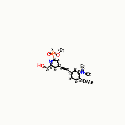 CCOP(C)(=O)c1cc(C#Cc2ccc(OC)c(N(CC)CC)c2)cc(CO)n1